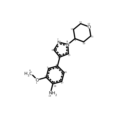 COc1cc(-c2cnn(C3CCOCC3)c2)ccc1N